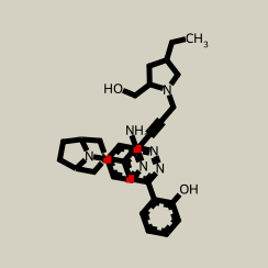 CCC1CC(CO)N(CC#Cc2cc(N3C4CCC3CN(c3cc(-c5ccccc5O)nnc3N)C4)ccn2)C1